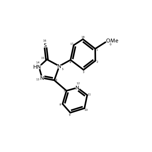 COc1ccc(-n2c(-c3ccccn3)n[nH]c2=S)cc1